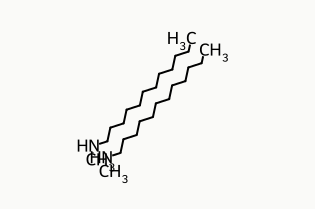 CCCCCCCCCCCCNC.CCCCCCCCCCCCNC